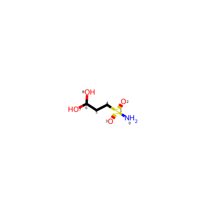 NS(=O)(=O)CC[C](O)O